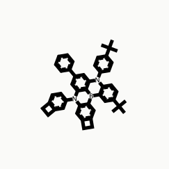 CC(C)(C)c1ccc(N2c3ccc(C(C)(C)C)cc3B3c4cc5c(cc4N(c4ccc6c(c4)CC6)c4cc(-c6ccccc6)cc2c43)CC5)cc1